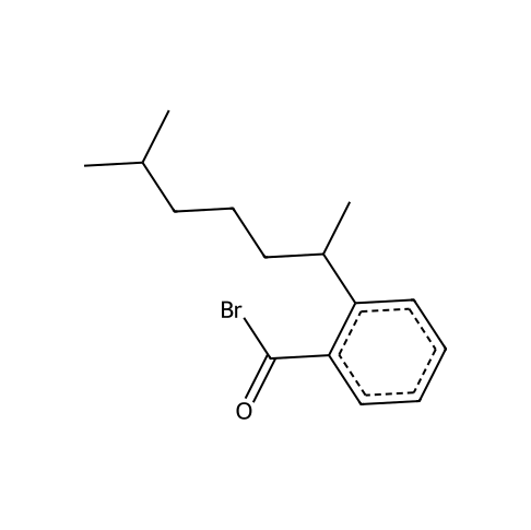 CC(C)CCCC(C)c1ccccc1C(=O)Br